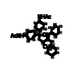 CC(=O)Nc1ccc(C(O)(CC(C)N(Cc2ccccc2)Cc2ccccc2)c2ccc(NC(C)=O)cc2)cc1